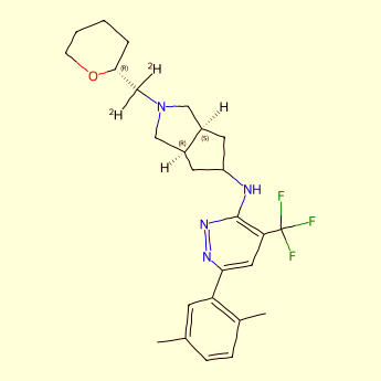 [2H]C([2H])([C@H]1CCCCO1)N1C[C@H]2CC(Nc3nnc(-c4cc(C)ccc4C)cc3C(F)(F)F)C[C@H]2C1